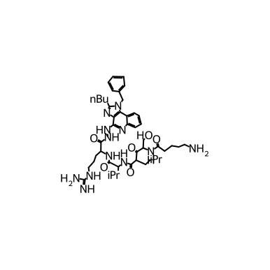 CCCCc1nc2c(NNC(=O)C(CCCNC(=N)N)NC(=O)C(NC(=O)C(CC(C)C)C(=O)C(CO)NC(=O)CCCCN)C(C)C)nc3ccccc3c2n1Cc1ccccc1